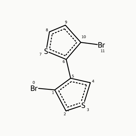 Brc1[c]scc1-c1sccc1Br